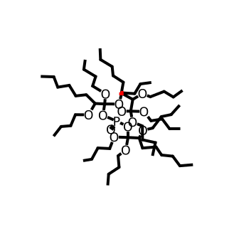 CCCCCCC(OCCCC)C(OCCCC)(OCCCC)OP(=O)(OC(OCCCC)(OCCCC)C(CCCCCC)OCCCC)OC(OCCCC)(OCCCC)C(CCCCCC)OCCCC